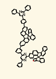 c1ccc(-c2cc(-c3ccc(-c4ccc5c6c(ccc5c4)-c4c(ccc5cc(-c7cccc(-c8cc(-c9ccccc9)nc(-c9ccc%10c%11c(ccc%10c9)-c9c(ccc%10ccccc9%10)C%119c%10ccccc%10-c%10ccccc%109)n8)c7)ccc45)C64c5ccccc5-c5ccccc54)cc3)nc(-c3ccccc3)n2)cc1